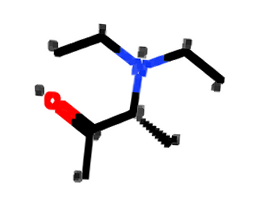 CCN(CC)[C@H](C)C(C)=O